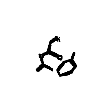 CC(C)OC(=O)CS.Cc1ccccc1